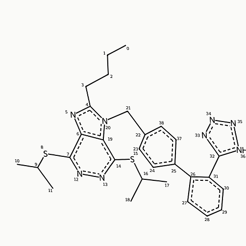 CCCCc1nc2c(SC(C)C)nnc(SC(C)C)c2n1Cc1ccc(-c2ccccc2-c2nnn[nH]2)cc1